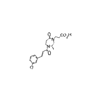 C[C@@H]1CN(CCC(=O)O)C(=O)CCN1C(=O)/C=C/c1cccc(Cl)c1